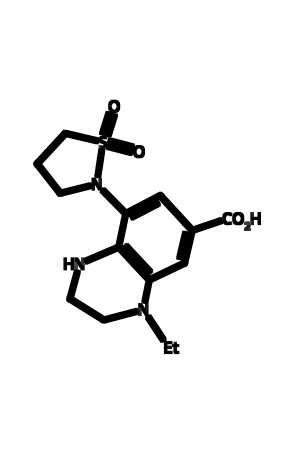 CCN1CCNc2c1cc(C(=O)O)cc2N1CCCS1(=O)=O